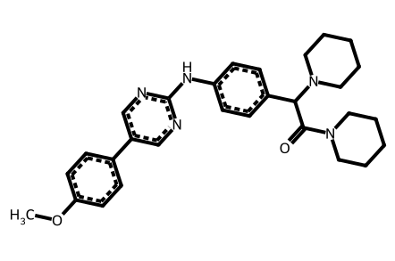 COc1ccc(-c2cnc(Nc3ccc(C(C(=O)N4CCCCC4)N4CCCCC4)cc3)nc2)cc1